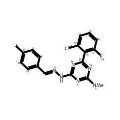 CNc1nc(NN=Cc2ccc(C)cc2)nc(-c2c(F)cccc2Cl)n1